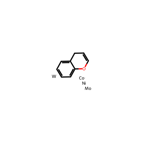 C1=COc2ccccc2C1.[Co].[Mo].[Ni].[W]